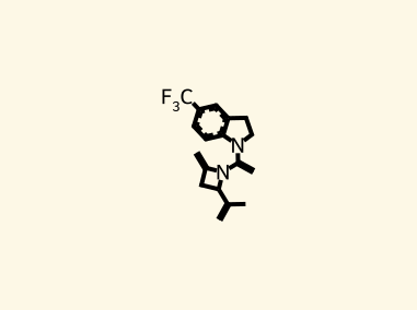 C=C(C)C1CC(=C)N1C(=C)N1CCc2cc(C(F)(F)F)ccc21